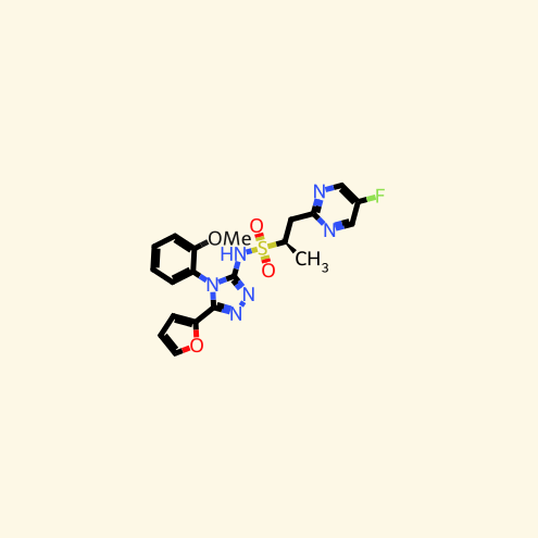 COc1ccccc1-n1c(NS(=O)(=O)[C@H](C)Cc2ncc(F)cn2)nnc1-c1ccco1